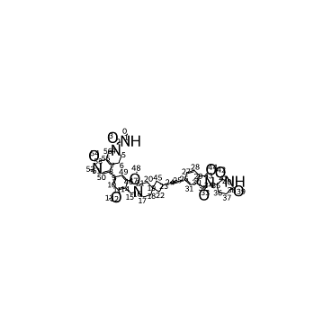 CNC(=O)N1CCc2c(-c3cc(OC)c(CN4CCC5(CC4)CC(C#Cc4ccc6c(c4)C(=O)N(C4CCC(=O)NC4=O)C6=O)C5)c(OC)c3)cn(C)c(=O)c2C1